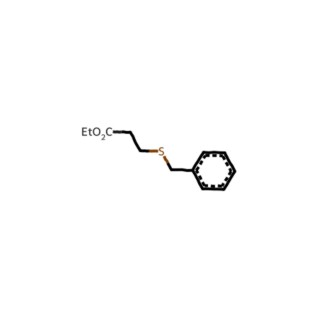 CCOC(=O)CCSCc1ccccc1